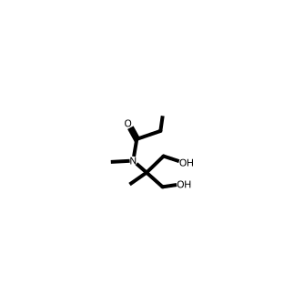 CCC(=O)N(C)C(C)(CO)CO